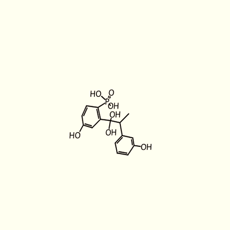 CC(c1cccc(O)c1)C(O)(O)c1cc(O)ccc1P(=O)(O)O